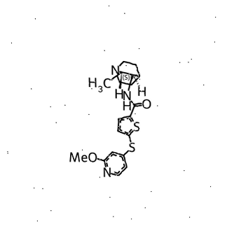 COc1cc(Sc2ccc(C(=O)N[C@@H]3C4CCN(CC4)[C@H]3C)s2)ccn1